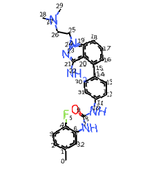 Cc1ccc(F)c(NC(=O)Nc2ccc(-c3cccc4c3c(N)nn4CCN(C)C)cc2)c1